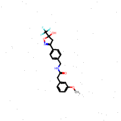 COc1cccc(CC(=O)NCc2ccc(C3=NOC(O)(C(F)(F)F)C3)cc2)c1